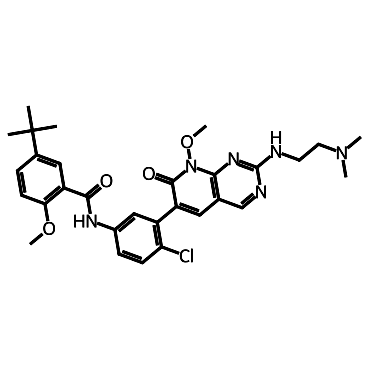 COc1ccc(C(C)(C)C)cc1C(=O)Nc1ccc(Cl)c(-c2cc3cnc(NCCN(C)C)nc3n(OC)c2=O)c1